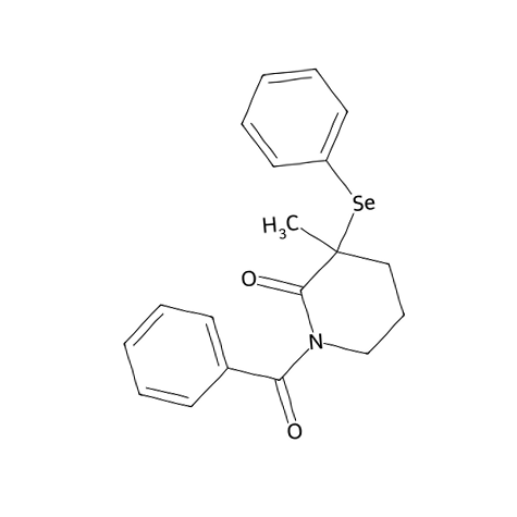 CC1([Se]c2ccccc2)CCCN(C(=O)c2ccccc2)C1=O